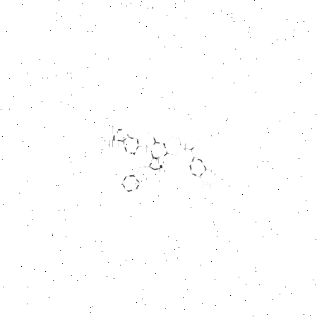 CNc1noc2cc(-n3c(=O)c4c(n5ncc(Cc6ccccc6)c35)CN(C(=O)c3ccc(Br)c(Cl)c3)CC4)ccc12